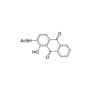 CC(=O)Nc1ccc2c(c1O)C(=O)c1ccccc1C2=O